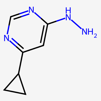 NNc1cc(C2CC2)ncn1